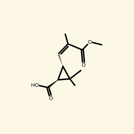 COC(=O)C(C)=C[C@H]1[C@H](C(=O)O)C1(C)C